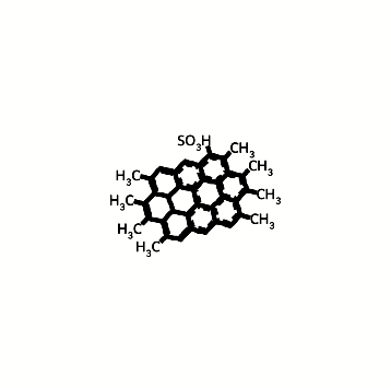 CC1=C2C(C)=C(C)C3=C(C)C=c4cc5c(S(=O)(=O)O)c(C)c6c(C)c(C)c7c(C)cc8cc(c9c%10c(c4C3C29)c5c6c7c8%10)=C1